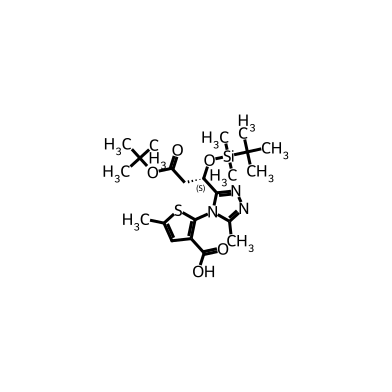 Cc1cc(C(=O)O)c(-n2c(C)nnc2[C@H](CC(=O)OC(C)(C)C)O[Si](C)(C)C(C)(C)C)s1